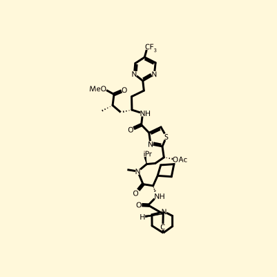 COC(=O)[C@@H](C)C[C@H](CCc1ncc(C(F)(F)F)cn1)NC(=O)c1csc([C@@H](C[C@H](C(C)C)N(C)C(=O)[C@@H](NC(=O)[C@H]2CC3CCN2CC3)C2CCC2)OC(C)=O)n1